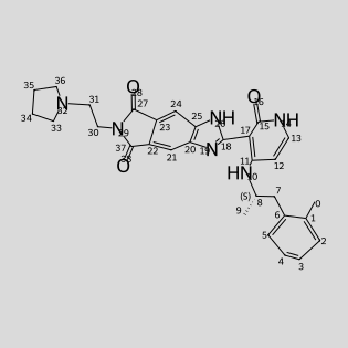 Cc1ccccc1C[C@H](C)Nc1cc[nH]c(=O)c1-c1nc2cc3c(cc2[nH]1)C(=O)N(CCN1CCCC1)C3=O